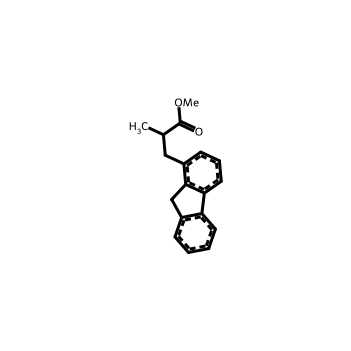 COC(=O)C(C)Cc1cccc2c1Cc1ccccc1-2